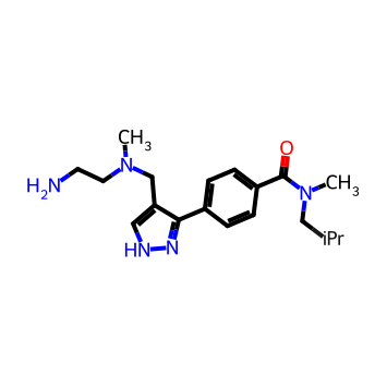 CC(C)CN(C)C(=O)c1ccc(-c2n[nH]cc2CN(C)CCN)cc1